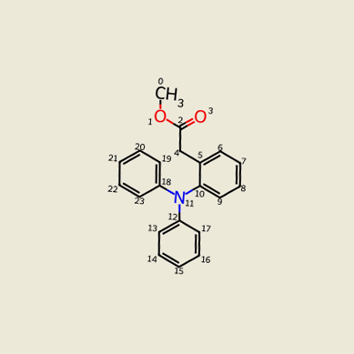 COC(=O)Cc1ccccc1N(c1ccccc1)c1ccccc1